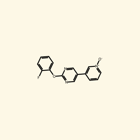 [O-][n+]1cccc(-c2cnc(Oc3ccccc3F)nc2)c1